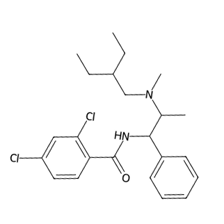 CCC(CC)CN(C)C(C)C(NC(=O)c1ccc(Cl)cc1Cl)c1ccccc1